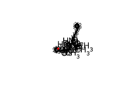 COC(=O)C(NC(=O)C(NC(=O)CCCCCCc1ccccc1)C(CO)CNC(=O)[C@H](C)NC(=O)OCc1ccccc1)C(C)C